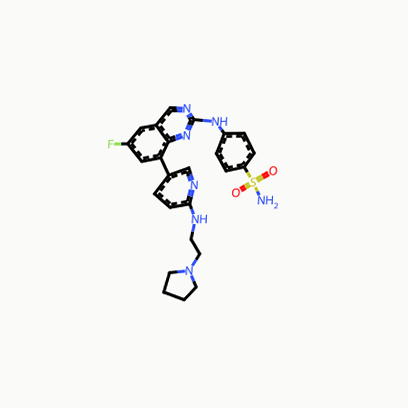 NS(=O)(=O)c1ccc(Nc2ncc3cc(F)cc(-c4ccc(NCCN5CCCC5)nc4)c3n2)cc1